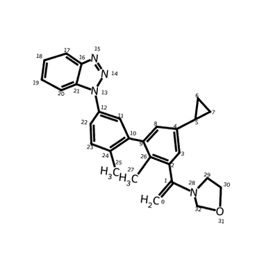 C=C(c1cc(C2CC2)cc(-c2cc(-n3nnc4ccccc43)ccc2C)c1C)N1CCOC1